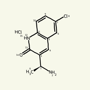 C[C@H](N)c1cc2cc(Cl)ccc2[nH]c1=O.Cl